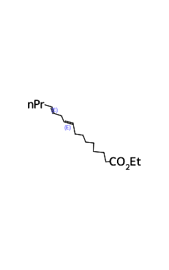 CCC/C=C/C/C=C/CCCCCCCC(=O)OCC